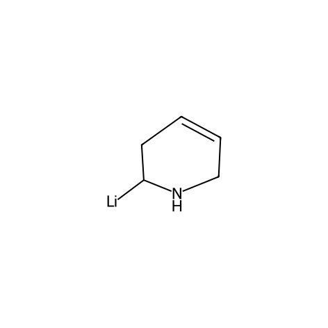 [Li][CH]1CC=CCN1